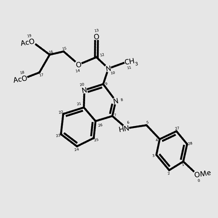 COc1ccc(CNc2nc(N(C)C(=O)OCC(COC(C)=O)OC(C)=O)nc3ccccc23)cc1